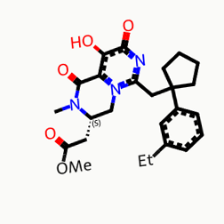 CCc1cccc(C2(Cc3nc(=O)c(O)c4n3C[C@H](CC(=O)OC)N(C)C4=O)CCCC2)c1